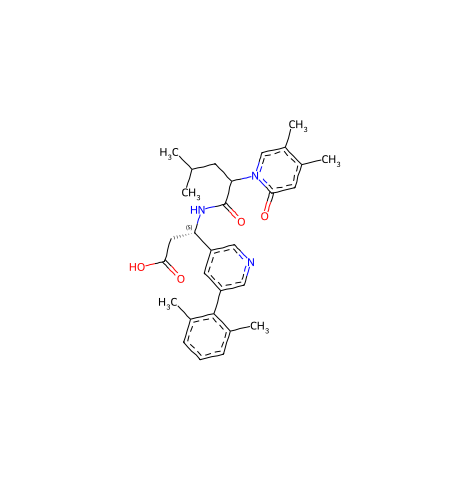 Cc1cc(=O)n(C(CC(C)C)C(=O)N[C@@H](CC(=O)O)c2cncc(-c3c(C)cccc3C)c2)cc1C